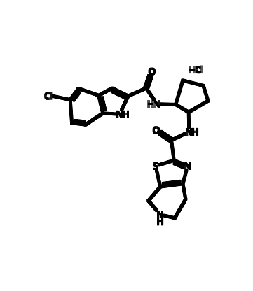 Cl.O=C(NC1CCCC1NC(=O)c1nc2c(s1)CNCC2)c1cc2cc(Cl)ccc2[nH]1